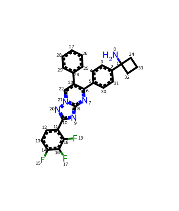 NC1(c2ccc(-c3nc4nc(-c5ccc(F)c(F)c5F)nn4cc3-c3ccccc3)cc2)CCC1